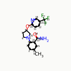 Cc1ccc(N2CCC(Oc3ccc(C(F)(F)F)cn3)C2)c(C(N)=O)c1